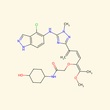 C=C(/C=C\C(OCC(=O)NC1CCC(O)CC1)=C(/C)OC)c1nc(Nc2ccc3[nH]ncc3c2Cl)n(C)n1